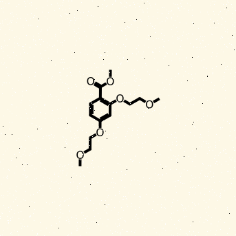 COCCOc1ccc(C(=O)OC)c(OCCOC)c1